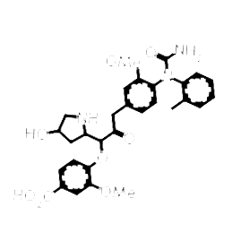 COc1cc(C(=O)O)ccc1OC(C(=O)Cc1ccc(N(C(N)=O)c2ccccc2C)c(OC)c1)C1CC(O)CN1